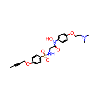 CC#CCOc1ccc(S(=O)(=O)NCC(=O)N(O)c2ccc(OCCN(C)C)cc2)cc1